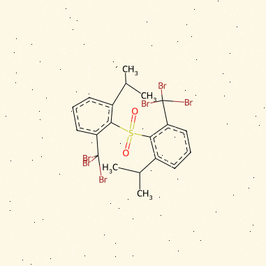 CC(C)c1cccc(C(Br)(Br)Br)c1S(=O)(=O)c1c(C(C)C)cccc1C(Br)(Br)Br